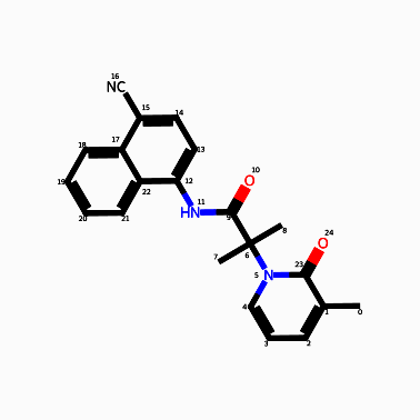 Cc1cccn(C(C)(C)C(=O)Nc2ccc(C#N)c3ccccc23)c1=O